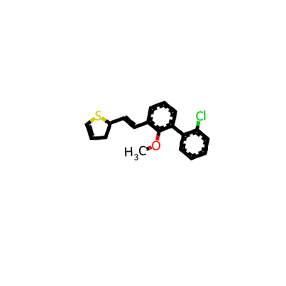 COc1c(C=CC2CC=CS2)cccc1-c1ccccc1Cl